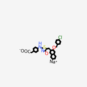 O=C([O-])Cc1ccc(NC2=NC(=O)C(=Cc3cc4ccccc4cc3OCc3ccc(Cl)cc3)S2)cc1.[Na+]